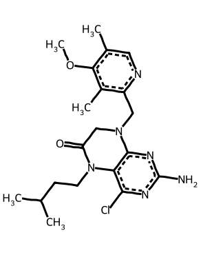 COc1c(C)cnc(CN2CC(=O)N(CCC(C)C)c3c(Cl)nc(N)nc32)c1C